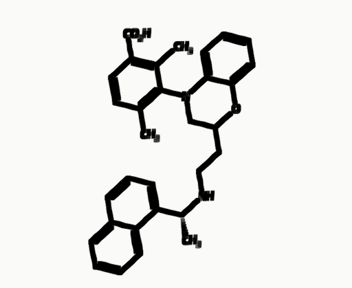 Cc1ccc(C(=O)O)c(C)c1N1CC(CCN[C@H](C)c2cccc3ccccc23)Oc2ccccc21